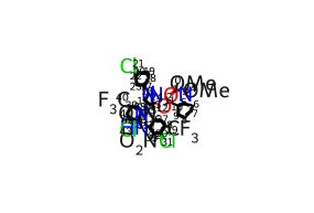 COC(=O)N(OC)c1ccccc1COc1ccn(-c2ccc(Cl)cc2)n1.O=[N+]([O-])c1cc(C(F)(F)F)c(Cl)c([N+](=O)[O-])c1Nc1ncc(C(F)(F)F)cc1Cl